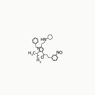 CC(C)c1c(C(=O)CCc2cccc(N=O)c2)cc(CCNC2CCCC2)n1Cc1ccccc1